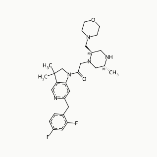 C[C@@H]1CN(CC(=O)N2CC(C)(C)c3cnc(Cc4ccc(F)cc4F)cc32)[C@@H](CN2CCOCC2)CN1